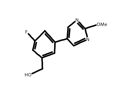 COc1ncc(-c2cc(F)cc(CO)c2)cn1